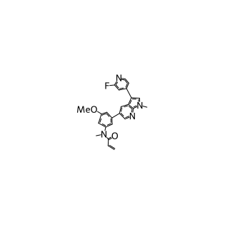 C=CC(=O)N(C)c1cc(OC)cc(-c2cnc3c(c2)c(-c2ccnc(F)c2)cn3C)c1